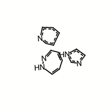 C1=CC=NNC=C1.c1c[nH]cn1.c1ccncc1